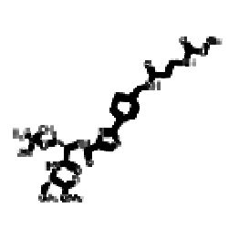 COC(=O)[C@H](COC(C)=O)NC(=O)[C@H](CO[Si](C)(C)C(C)(C)C)NC(=O)c1csc(-c2ccc(CNC(=O)CCNC(=O)OC(C)(C)C)cc2)n1